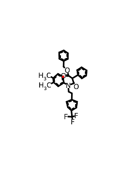 Cc1ccc(N(CCc2ccc(C(F)(F)F)cc2)C(=O)C(C(=O)OCc2ccccc2)c2ccccc2)cc1C